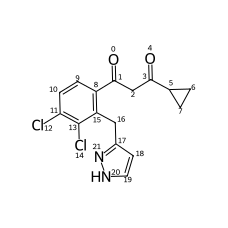 O=C(CC(=O)C1CC1)c1ccc(Cl)c(Cl)c1Cc1cc[nH]n1